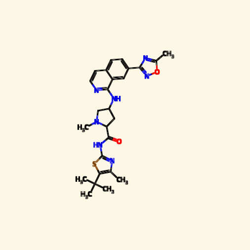 Cc1nc(-c2ccc3ccnc(NC4CC(C(=O)Nc5nc(C)c(C(C)(C)C)s5)N(C)C4)c3c2)no1